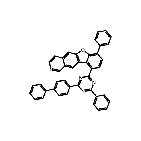 c1ccc(-c2ccc(-c3nc(-c4ccccc4)nc(-c4ccc(-c5ccccc5)c5oc6cc7ccncc7cc6c45)n3)cc2)cc1